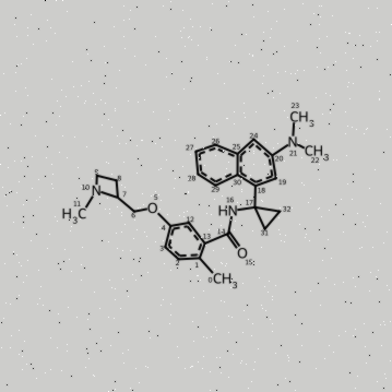 Cc1ccc(OCC2CCN2C)cc1C(=O)NC1(c2cc(N(C)C)cc3ccccc23)CC1